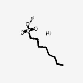 CCCCCCCCS(=O)(=O)OF.I